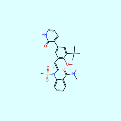 COc1c(/C=C/N(c2ccccc2C(=O)N(C)C)S(C)(=O)=O)cc(-c2ccc[nH]c2=O)cc1C(C)(C)C